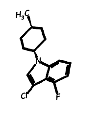 C[C@H]1CC[C@@H](n2cc(Cl)c3c(F)cccc32)CC1